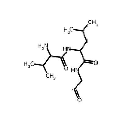 CC(C)CC(NC(=O)C(N)C(C)C)C(=O)NC[C]=O